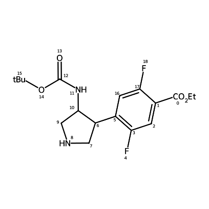 CCOC(=O)c1cc(F)c(C2CNCC2NC(=O)OC(C)(C)C)cc1F